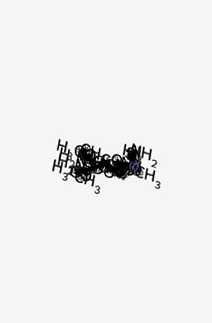 CO/N=C(\C(=O)NC1C(=O)N2C(C(=O)OC(C)OC(=O)OC(COC(=O)[C@@H](N)C(C)C)COC(=O)[C@@H](N)C(C)C)=CCS[C@@H]12)c1csc(N)n1